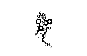 C=C/C=C\C=C(/C)C(F)(F)CNC(=O)[C@@H]1c2ccccc2C(=O)N([C@H]2CCCC[C@@H]2NS(C)(=O)=O)[C@H]1c1ccc(Cl)cc1Cl